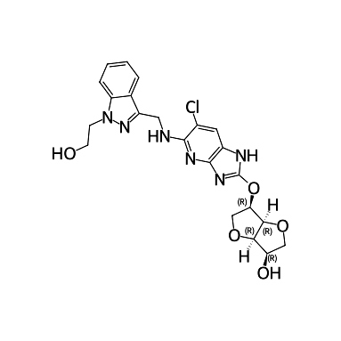 OCCn1nc(CNc2nc3nc(O[C@@H]4CO[C@H]5[C@@H]4OC[C@H]5O)[nH]c3cc2Cl)c2ccccc21